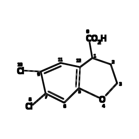 O=C(O)C1CCOc2cc(Cl)c(Cl)cc21